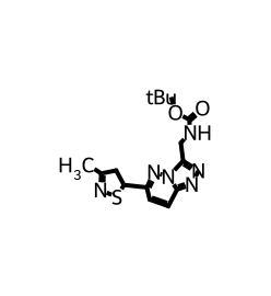 CC1=NSC(c2ccc3nnc(CNC(=O)OC(C)(C)C)n3n2)C1